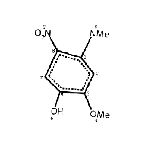 CNc1cc(OC)c(O)cc1[N+](=O)[O-]